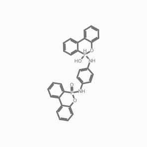 O=P1(Nc2ccc(N[PH]3(O)Oc4ccccc4-c4ccccc43)cc2)Oc2ccccc2-c2ccccc21